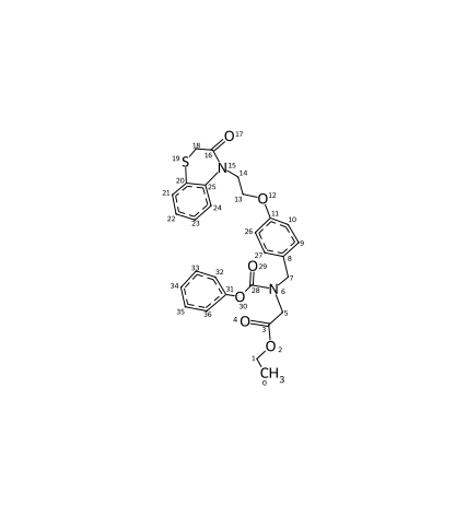 CCOC(=O)CN(Cc1ccc(OCCN2C(=O)CSc3ccccc32)cc1)C(=O)Oc1ccccc1